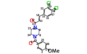 COc1ccc(C(=O)N2CCN(C(=O)C=Cc3ccc(Cl)c(Cl)c3)CC2)cc1